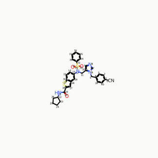 N#Cc1ccc(Cn2cncc2CN(c2ccc3sc(C(=O)NC4CCCC4)cc3c2)S(=O)(=O)c2ccccc2)cc1